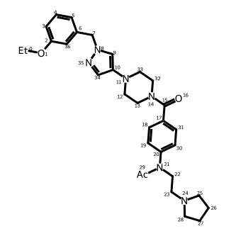 CCOc1cccc(Cn2cc(N3CCN(C(=O)c4ccc(N(CCN5CCCC5)C(C)=O)cc4)CC3)cn2)c1